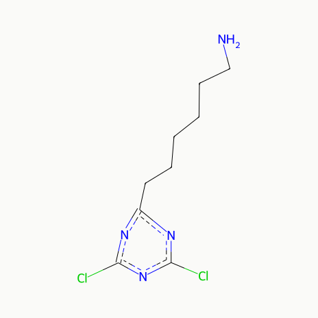 NCCCCCCc1nc(Cl)nc(Cl)n1